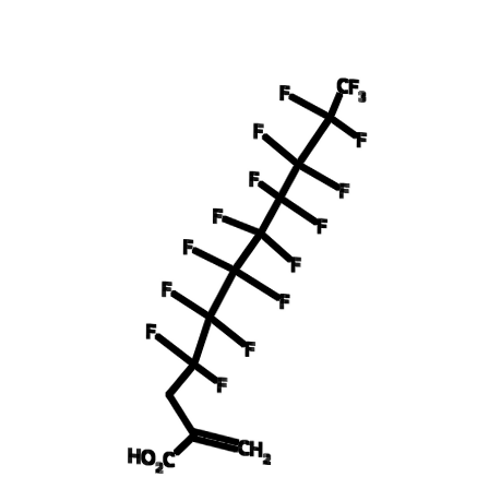 C=C(CC(F)(F)C(F)(F)C(F)(F)C(F)(F)C(F)(F)C(F)(F)C(F)(F)C(F)(F)F)C(=O)O